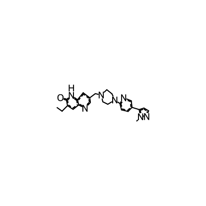 CCc1cc2ncc(CN3CCN(c4ccc(-c5ccnn5C)cn4)CC3)cc2[nH]c1=O